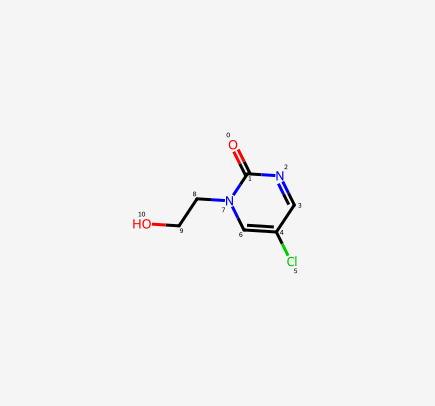 O=c1ncc(Cl)cn1CCO